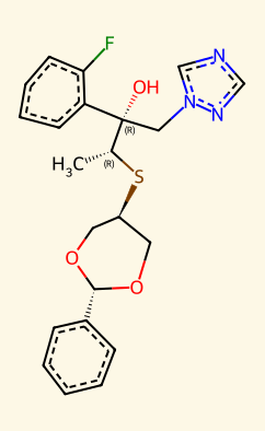 C[C@@H](S[C@H]1CO[C@H](c2ccccc2)OC1)[C@](O)(Cn1cncn1)c1ccccc1F